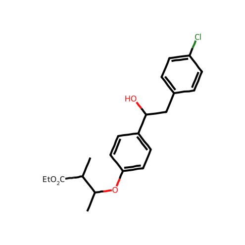 CCOC(=O)C(C)C(C)Oc1ccc(C(O)Cc2ccc(Cl)cc2)cc1